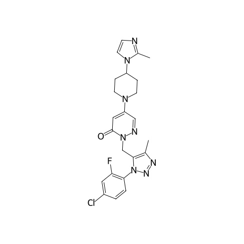 Cc1nnn(-c2ccc(Cl)cc2F)c1Cn1ncc(N2CCC(n3ccnc3C)CC2)cc1=O